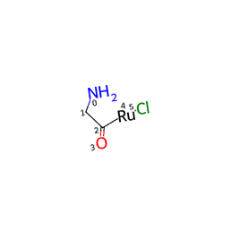 NC[C](=O)[Ru][Cl]